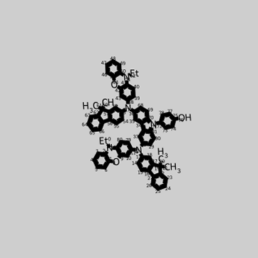 CCN1c2ccccc2Oc2cc(N(c3ccc4c(c3)C(C)(C)c3ccccc3-4)c3ccc4c(c3)c3cc(N(c5ccc6c(c5)Oc5ccccc5N6CC)c5ccc6c(c5)C(C)(C)c5ccccc5-6)ccc3n4-c3ccc(O)cc3)ccc21